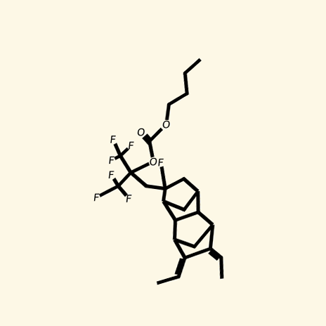 CC=C1C(=CC)C2CC1C1C3CC(C21)C(F)(CC(OC(=O)OCCCC)(C(F)(F)F)C(F)(F)F)C3